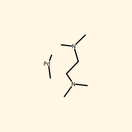 CN(C)CCN(C)C.[CH3][Pd][CH3]